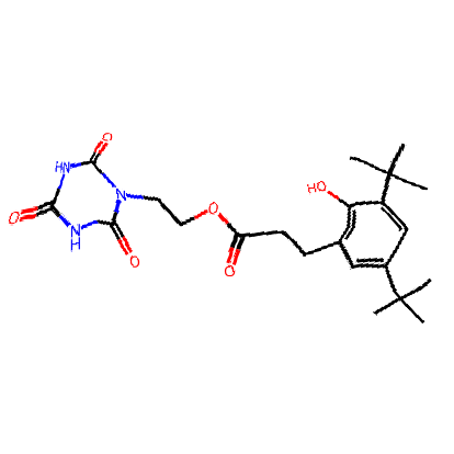 CC(C)(C)c1cc(CCC(=O)OCCn2c(=O)[nH]c(=O)[nH]c2=O)c(O)c(C(C)(C)C)c1